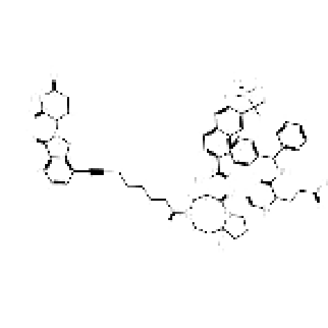 NC(=O)CCC(NC(=O)[C@@H]1CC[C@@H]2CCN(C(=O)CCCCCC#Cc3cccc4c3CN(C3CCC(=O)NC3=O)C4=O)C[C@H](NC(=O)c3ccc4ccc(C(F)(F)P(=O)(O)O)cc4n3)C(=O)N21)C(=O)NC(c1ccccc1)c1ccccc1